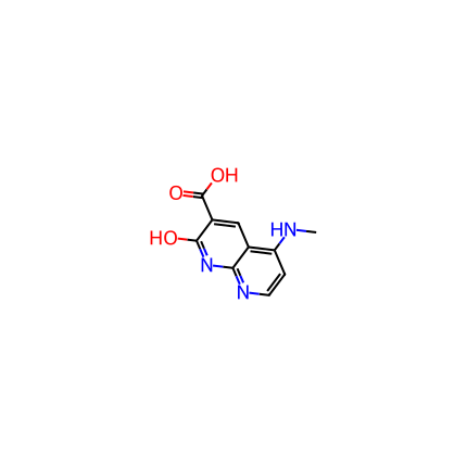 CNc1ccnc2nc(O)c(C(=O)O)cc12